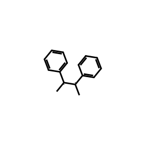 C[C]([C](C)c1ccccc1)c1ccccc1